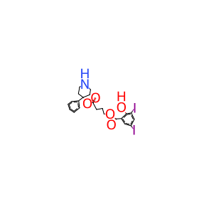 O=C(CCCOC(=O)c1cc(I)cc(I)c1O)OC1(c2ccccc2)CCNCC1